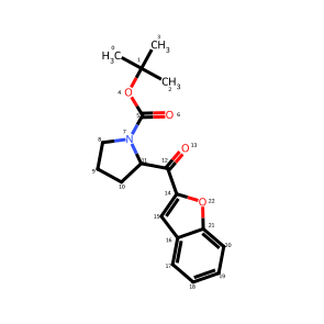 CC(C)(C)OC(=O)N1CCCC1C(=O)c1cc2ccccc2o1